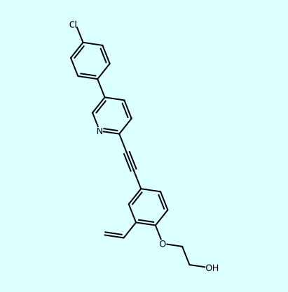 C=Cc1cc(C#Cc2ccc(-c3ccc(Cl)cc3)cn2)ccc1OCCO